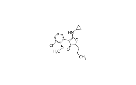 CCCC1OC(NC2CC2)=C(c2cccc(Cl)c2OC)C1=O